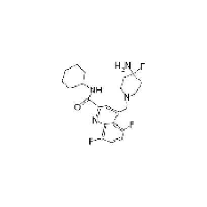 NC1(F)CCN(Cc2cc(C(=O)NC3CCCCC3)nc3c(F)ccc(F)c23)CC1